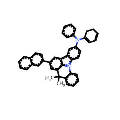 CC1(C)c2ccccc2-n2c3ccc(N(C4=CC=CCC4)c4ccccc4)cc3c3cc(-c4ccc5ccccc5c4)cc1c32